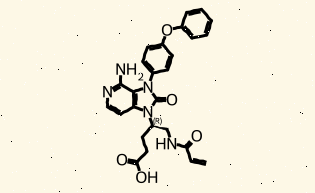 C=CC(=O)NC[C@@H](CCC(=O)O)n1c(=O)n(-c2ccc(Oc3ccccc3)cc2)c2c(N)nccc21